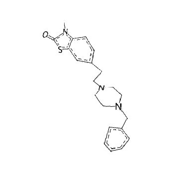 Cn1c(=O)sc2cc(CCN3CCN(Cc4ccccc4)CC3)ccc21